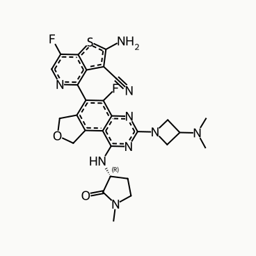 CN1CC[C@@H](Nc2nc(N3CC(N(C)C)C3)nc3c(F)c(-c4ncc(F)c5sc(N)c(C#N)c45)c4c(c23)COC4)C1=O